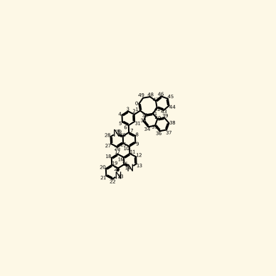 C1=C(/c2cccc(-c3ccc(-c4ccnc5c4ccc4cccnc45)c4cccnc34)c2)c2ccc3ccccc3c2-c2ccccc2CC/1